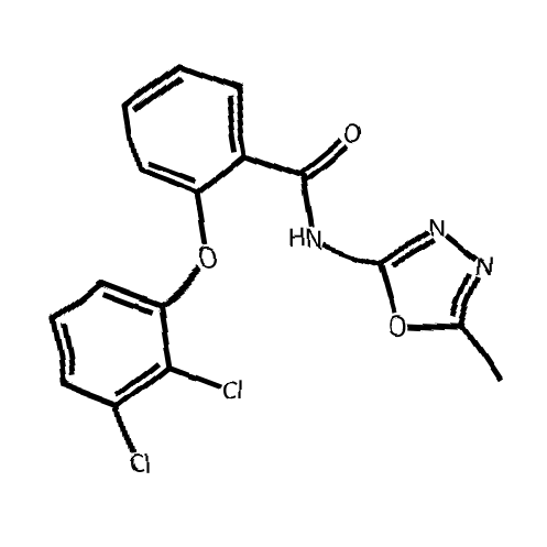 Cc1nnc(NC(=O)c2ccccc2Oc2cccc(Cl)c2Cl)o1